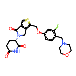 O=C1CC[C@H](N2Cc3c(csc3COc3ccc(CN4CCOCC4)c(F)c3)C2=O)C(=O)N1